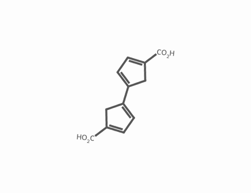 O=C(O)C1=CC=C(C2=CC=C(C(=O)O)C2)C1